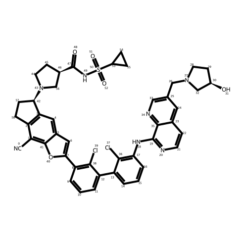 N#Cc1c2c(cc3cc(-c4cccc(-c5cccc(Nc6nccc7cc(CN8CC[C@@H](O)C8)cnc67)c5Cl)c4Cl)oc13)[C@H](N1CC[C@@H](C(=O)NS(=O)(=O)C3CC3)C1)CC2